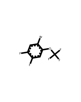 Fc1cc(Br)c(OC(F)(F)F)cc1F